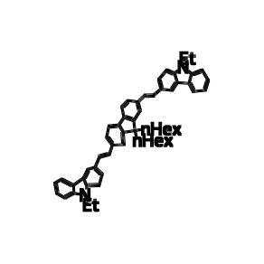 CCCCCCC1(CCCCCC)c2cc(C=Cc3ccc4c(c3)c3ccccc3n4CC)ccc2-c2ccc(C=Cc3ccc4c(c3)c3ccccc3n4CC)cc21